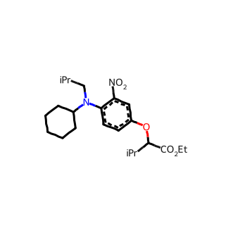 CCOC(=O)C(Oc1ccc(N(CC(C)C)C2CCCCC2)c([N+](=O)[O-])c1)C(C)C